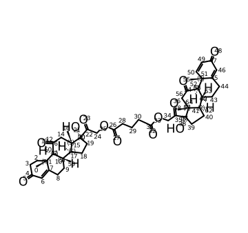 C[C@]12CCC(=O)C=C1CC[C@@H]1[C@@H]2C(=O)C[C@@]2(C)[C@H]1CC[C@]2(O)C(=O)COC(=O)CCCC(=O)OCC(=O)[C@]1(O)CC[C@@H]2[C@H]3CCC4=CC(=O)C=C[C@@]4(C)[C@@H]3C(=O)C[C@]21C